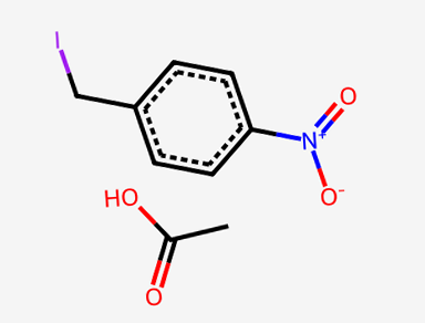 CC(=O)O.O=[N+]([O-])c1ccc(CI)cc1